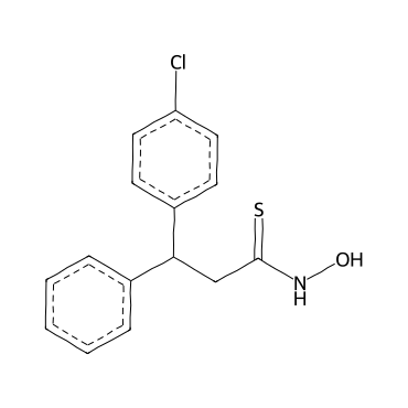 ONC(=S)CC(c1ccccc1)c1ccc(Cl)cc1